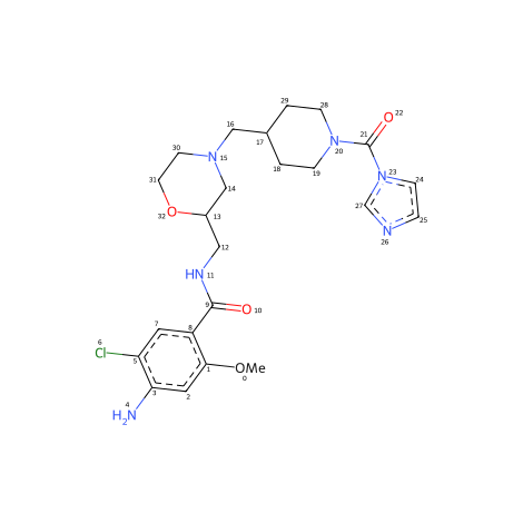 COc1cc(N)c(Cl)cc1C(=O)NCC1CN(CC2CCN(C(=O)n3ccnc3)CC2)CCO1